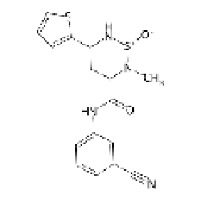 CN1C(C(=O)Nc2cccc(C#N)c2)CC(c2cccs2)N[S+]1[O-]